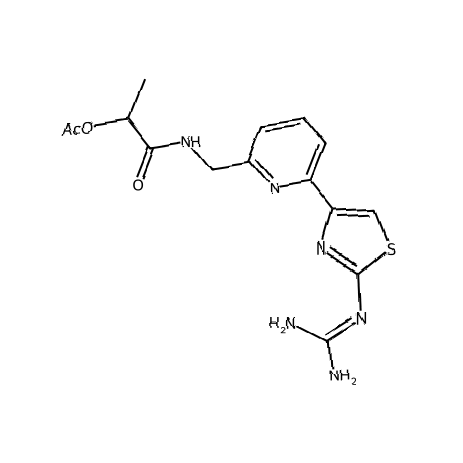 CC(=O)OC(C)C(=O)NCc1cccc(-c2csc(N=C(N)N)n2)n1